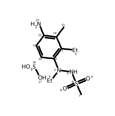 CCc1c(N(CC)NS(C)(=O)=O)ccc(N)c1C.O=S(=O)(O)O